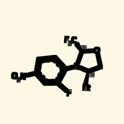 CC[C@@H]1CO[C@H](C(F)(F)F)N1c1ccc([N+](=O)[O-])cc1F